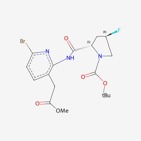 COC(=O)Cc1ccc(Br)nc1NC(=O)[C@@H]1C[C@@H](F)CN1C(=O)OC(C)(C)C